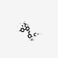 CCOC(=O)[C@@H](OC(C)(C)C)c1c(C)cc2nc(-c3ccc([N+](=O)[O-])c(N[C@H]4CCN(C)C4)c3)sc2c1-c1ccc(Cl)cc1